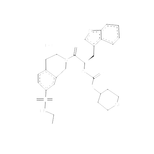 CCNS(=O)(=O)c1ccc2c(c1)CN(C(=O)[C@@H](Cc1c[nH]c3ccccc13)NC(=O)OC1CCNCC1)CC2.Cl